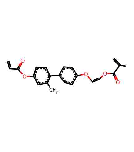 C=CC(=O)Oc1ccc(-c2ccc(O/C=C\OC(=O)C(=C)C)cc2)c(C(F)(F)F)c1